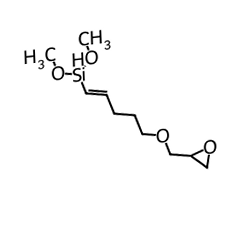 CO[SiH](C=CCCCOCC1CO1)OC